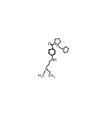 CCN(CC)CCCNc1ccc(C(=O)N2CCC[C@H]2CN2CCCC2)cc1